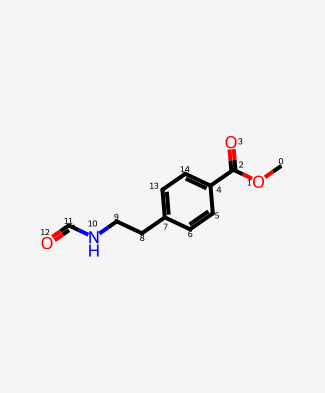 COC(=O)c1ccc(CCN[C]=O)cc1